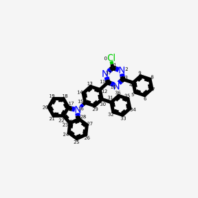 Clc1nc(-c2ccccc2)nc(-c2ccc(-n3c4ccccc4c4ccccc43)cc2-c2ccccc2)n1